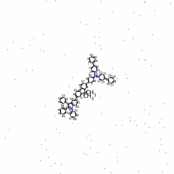 CC1(C)c2cc(-c3ccc(N(c4ccc(-c5ccccc5)cc4)c4ccc(-c5ccccc5)cc4)cc3)ccc2-c2ccc(-c3ccc4c(c3)c(-c3ccccc3)c(-c3ccccc3)n4-c3ccccc3)cc21